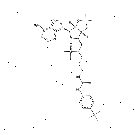 CC1(C)O[C@@H]2[C@H](O1)[C@@H](CN(CCCNC(=O)Nc1ccc(C(C)(C)C)cc1)S(C)(=O)=O)O[C@H]2n1cnc2c(N)ncnc21